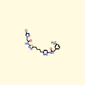 Cc1cccc(CC(=O)Nc2ccc(CCCCc3nnc(NC(=O)Cn4cc(Cl)cn4)s3)nn2)c1